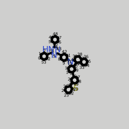 c1ccc(C2=NC(c3ccc(-n4c5ccc(-c6ccc7sc8ccccc8c7c6)cc5c5c6ccccc6ccc54)cc3)=NC(c3ccccc3)N2)cc1